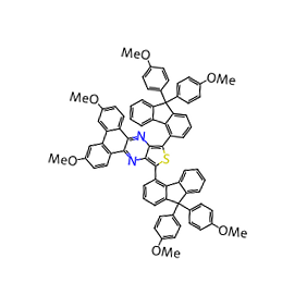 COc1ccc(C2(c3ccc(OC)cc3)c3ccccc3-c3c(-c4sc(-c5cccc6c5-c5ccccc5C6(c5ccc(OC)cc5)c5ccc(OC)cc5)c5nc6c7ccc(OC)cc7c7cc(OC)ccc7c6nc45)cccc32)cc1